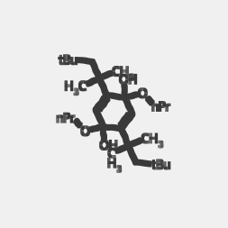 CCCOC1(O)C=C(C(C)(C)CC(C)(C)C)C(O)(OCCC)C=C1C(C)(C)CC(C)(C)C